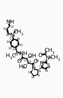 CC(=O)N(C)c1nc([C@H]2CCCN2C(=O)[C@H](O)[C@@H](O)C(=O)N[C@H](C)c2ccc(N(C)/C=C\C=N)cc2)cs1